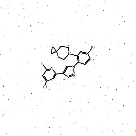 Cc1cc(F)nc(-c2cn(-c3ccc(Br)cc3N3CCC4(CC3)CC4)nn2)c1